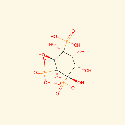 O=P(O)(O)[C@@]1(O)[C@H](O)[C@H](O)[C@](O)(P(=O)(O)O)[C@@](O)(P(=O)(O)O)[C@H]1O